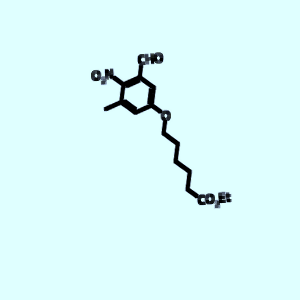 CCOC(=O)CCCCCOc1cc(C)c([N+](=O)[O-])c(C=O)c1